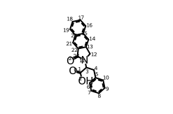 O=C(O)C(Cc1ccccc1)N1Cc2cc3ccccc3cc2C1=O